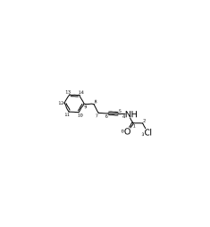 O=C(CCl)NC#CCCc1ccccc1